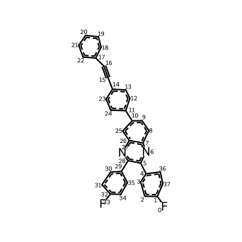 Fc1ccc(-c2nc3ccc(-c4ccc(C#Cc5ccccc5)cc4)cc3nc2-c2ccc(F)cc2)cc1